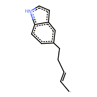 [CH2]C=CCCc1ccc2[nH]ccc2c1